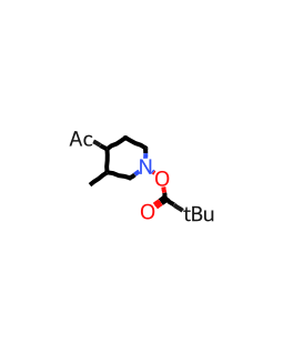 CC(=O)C1CCN(OC(=O)C(C)(C)C)CC1C